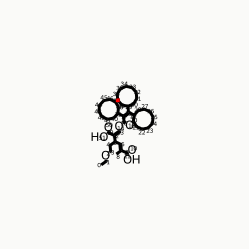 CCOCCC(C=C(C)C(=O)O)C(=COC(=O)C(=C(C1CCCCCCCCC1)C1CCCCCCCCC1)C1CCCCCCCCC1)C(=O)O